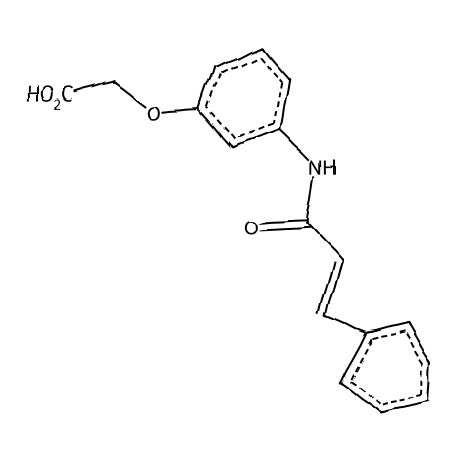 O=C(O)COc1cccc(NC(=O)/C=C/c2ccccc2)c1